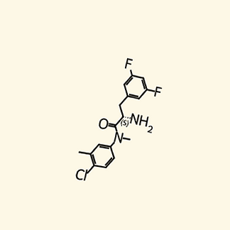 Cc1cc(N(C)C(=O)[C@@H](N)Cc2cc(F)cc(F)c2)ccc1Cl